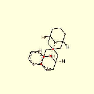 CC(=O)c1ccccc1N[C@H]1C[C@H]2CCC[C@@H](C1)N2[C@H]1C[C@@H]2CCC[C@@H](C2)C1